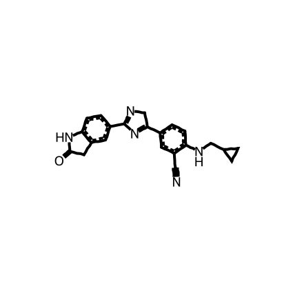 N#Cc1cc(C2=NC(c3ccc4c(c3)CC(=O)N4)=NC2)ccc1NCC1CC1